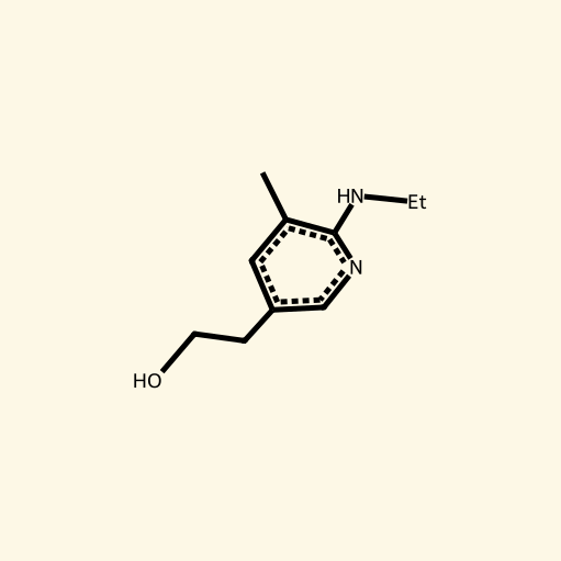 CCNc1ncc(CCO)cc1C